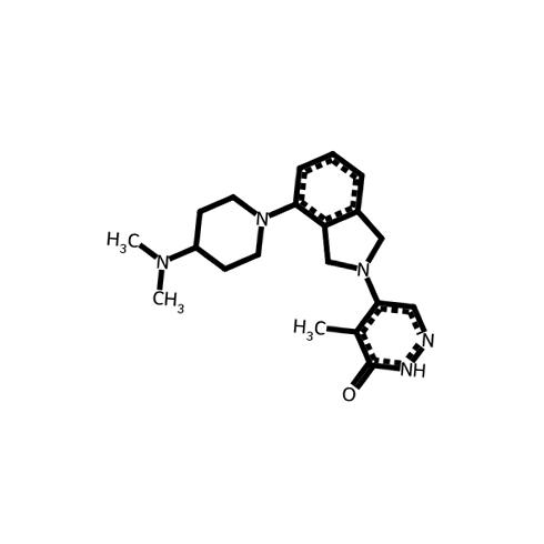 Cc1c(N2Cc3cccc(N4CCC(N(C)C)CC4)c3C2)cn[nH]c1=O